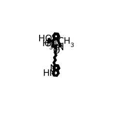 CC(C)(C#N)c1ccccc1C(C(=O)O)N1CC(OCCCCCc2ccc3c(n2)NCCC3)C1